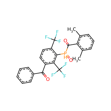 Cc1cccc(C)c1C(=O)[PH](=O)c1c(C(F)(F)F)ccc(C(=O)c2ccccc2)c1C(F)(F)F